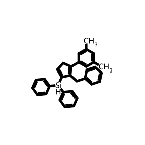 Cc1cc(C)cc(C2=C(Cc3ccccc3)C([SiH](c3ccccc3)c3ccccc3)=CC2)c1